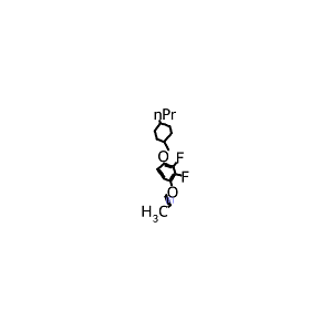 C/C=C/Oc1ccc(OCC2CCC(CCC)CC2)c(F)c1F